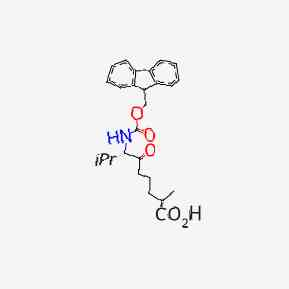 CC(C)[C@H](NC(=O)OCC1c2ccccc2-c2ccccc21)C(=O)CCC[C@@H](C)C(=O)O